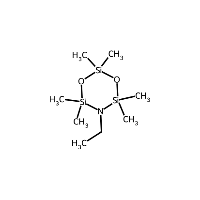 CCN1[Si](C)(C)O[Si](C)(C)O[Si]1(C)C